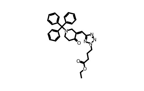 CCOC(=O)CCCn1nnc(/C=C2/CN(C(c3ccccc3)(c3ccccc3)c3ccccc3)CCC2=O)n1